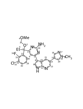 CCC(OCOC)(c1cc(-c2c[nH]c3ncc(-c4cnn(C)c4)cc23)nc(N)n1)c1cccc(Cl)c1F